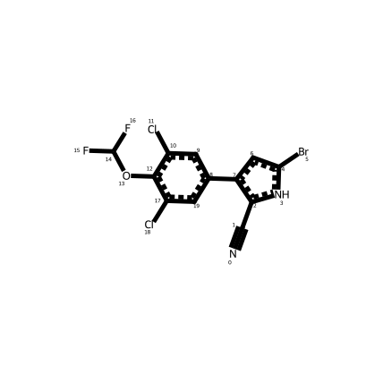 N#Cc1[nH]c(Br)cc1-c1cc(Cl)c(OC(F)F)c(Cl)c1